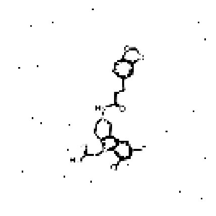 O=C(O)Cn1c2c(c3cc(F)cc(Cl)c31)C[C@H](NC(=O)CCc1ccc3c(c1)OCO3)CC2